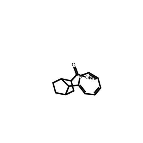 COC(=O)C1CC2CCC1C2C1=CC=CC=CN1